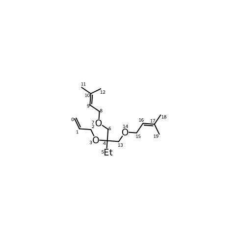 C=CCOC(CC)(COCC=C(C)C)COCC=C(C)C